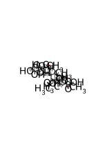 CC(=O)O[C@@H]1CC23C[C@@]24CC[C@H](O[C@@H]2OC[C@@H](O)C(O)C2O)C(C)(C)[C@@H]4CC=C3[C@]2(C)C[C@@H]3OC4(C[C@@H](C)[C@@H]3[C@@]12C)OC(O)C1(C)OC41